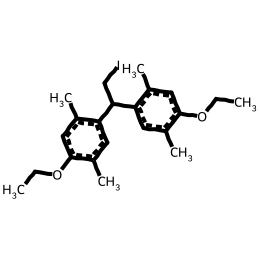 CCOc1cc(C)c(C(CI)c2cc(C)c(OCC)cc2C)cc1C